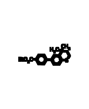 CCOC(=O)c1ccc(-c2ccc3c(c2)C(C)(C)CCS3)cc1